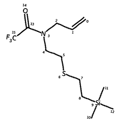 C=CCN(CCSCC[Si](C)(C)C)C(=O)C(F)(F)F